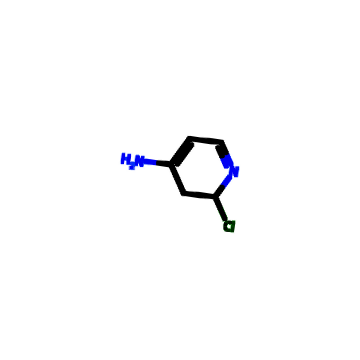 NC1=CC=NC(Cl)C1